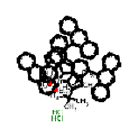 CC(C)(C)C1=Cc2c(-c3c4ccccc4cc4ccccc34)ccc(-c3c4ccccc4cc4ccccc34)c2[CH]1[Zr]([CH3])([CH3])(=[SiH2])[CH]1C(C(C)(C)C)=Cc2c(-c3c4ccccc4cc4ccccc34)ccc(-c3c4ccccc4cc4ccccc34)c21.Cl.Cl